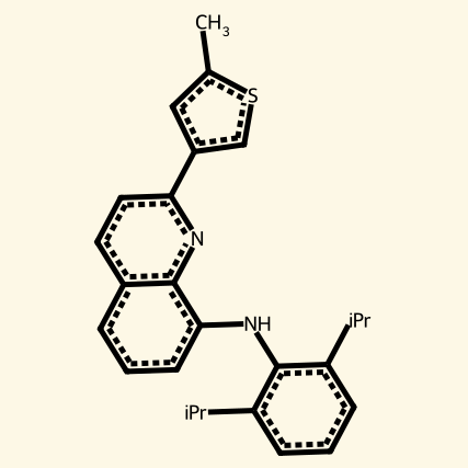 Cc1cc(-c2ccc3cccc(Nc4c(C(C)C)cccc4C(C)C)c3n2)cs1